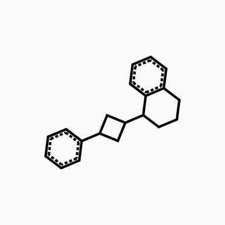 c1ccc(C2C[C](C3CCCc4ccccc43)C2)cc1